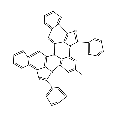 Fc1cc2c3c(c1)-n1c(-c4ccccc4)nc4c5ccccc5cc(c41)B3c1cc3ccccc3c3nc(-c4ccccc4)n-2c13